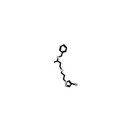 CC(CCOCCCn1cc(Br)cn1)OCc1ccccc1